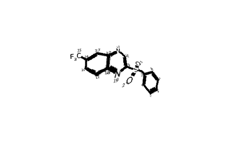 O=S(=O)(c1ccccc1)c1cnc2cc(C(F)(F)F)ccc2n1